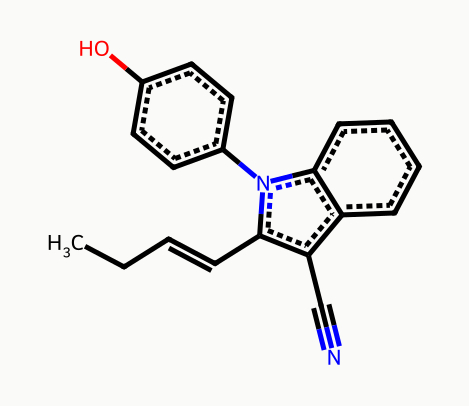 CC/C=C/c1c(C#N)c2ccccc2n1-c1ccc(O)cc1